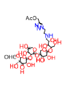 CC(=O)OCc1cn(CCNCC(O)C(O)C(CO)O[C@@H]2OC[C@@H](O[C@@H]3OC[C@@H](O)C(O)C3O[C@H]3OC(OC=O)[C@@H](CO)[C@H](O)C3O)[C@@H](O)C2O)nn1